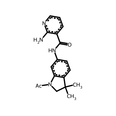 CC(=O)N1CC(C)(C)c2ccc(NC(=O)c3cccnc3N)cc21